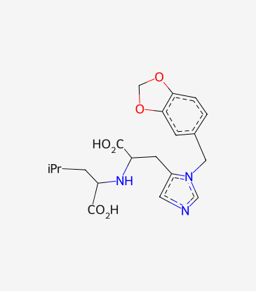 CC(C)CC(NC(Cc1cncn1Cc1ccc2c(c1)OCO2)C(=O)O)C(=O)O